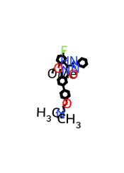 COCOc1ccc(F)cc1C(c1nc2ccccc2[nH]1)N1Cc2ccc(-c3ccc(OCCN(C)C)cc3)cc2C1=O